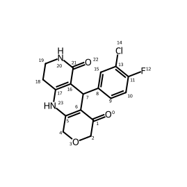 O=C1COCC2=C1C(c1ccc(F)c(Cl)c1)C1=C(CCNC1=O)N2